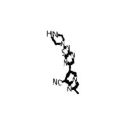 Cc1cn2cc(-c3cnc4nc(N5CCNCC5)sc4n3)cc(C#N)c2n1